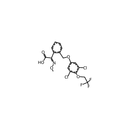 CON=C(C(=O)O)c1ccccc1COc1cc(Cl)c(OCC(F)(F)F)c(Cl)c1